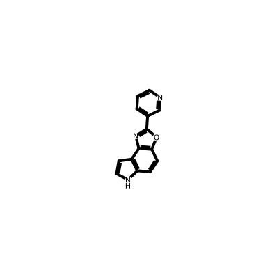 c1cncc(-c2nc3c(ccc4[nH]ccc43)o2)c1